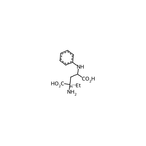 CC[C@@](N)(CC(Nc1ccccc1)C(=O)O)C(=O)O